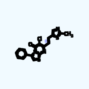 Cc1ncc(/C=C/c2nc3scc(-c4ccccc4)n3c(=O)c2Cl)s1